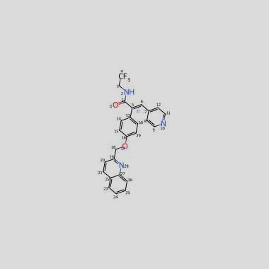 O=C(NCC(F)(F)F)/C(=C/c1ccncc1)c1ccc(OCc2ccc3ccccc3n2)cc1